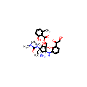 CC[C@]1(NC(=O)N(C)C)[C@@H](N)[C@H](Nc2cccc(C(=O)CO)c2)[C@](O)(COC(=O)c2c(C)cccc2O)[C@]1(C)O